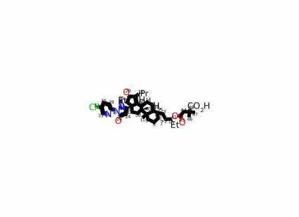 CC[C@H](CC[C@@]1(C)[C@H](C)CCC2(C)[C@@H]1CC[C@@H]1C3=C(C(C)C)C(=O)C[C@]3(c3cc(=O)n(-c4ccc(Cl)cn4)n3CC)CC[C@]12C)OC(=O)CC(C)(C)C(=O)O